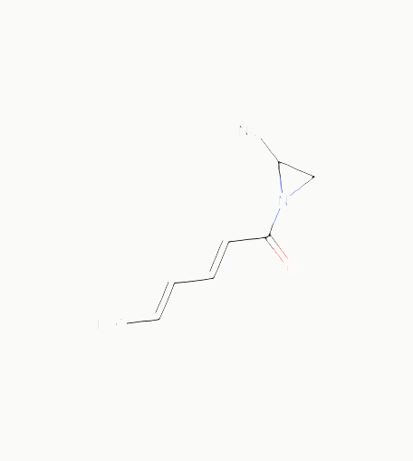 C/C=C/C=C/C(=O)N1CC1C#N